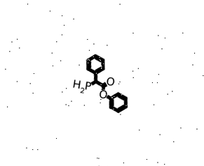 O=C(Oc1ccccc1)C(P)c1ccccc1